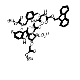 CC(C)(C)OC(=O)CO[C@H]1CCN(C(=O)[C@H](Cc2c[nH]c3ccc(F)cc23)NC(=O)[C@H](Cc2cccc(CNC(=O)OC(C)(C)C)c2)NC(=O)OCC2c3ccccc3-c3ccccc32)[C@@H]1C(=O)O